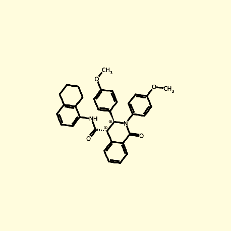 COc1ccc([C@@H]2[C@@H](C(=O)Nc3cccc4c3CCCC4)c3ccccc3C(=O)N2c2ccc(OC)cc2)cc1